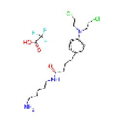 NCCCCCNC(=O)CCCc1ccc(N(CCCl)CCCl)cc1.O=C(O)C(F)(F)F